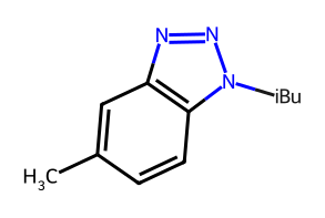 CCC(C)n1nnc2cc(C)ccc21